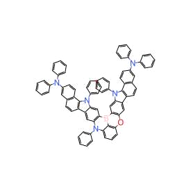 c1ccc(N(c2ccccc2)c2ccc3c(ccc4c5cc6c(cc5n(-c5ccccc5)c34)B3c4cc5c(cc4N(c4ccccc4)c4cccc(c43)O6)c3ccc4cc(N(c6ccccc6)c6ccccc6)ccc4c3n5-c3ccccc3)c2)cc1